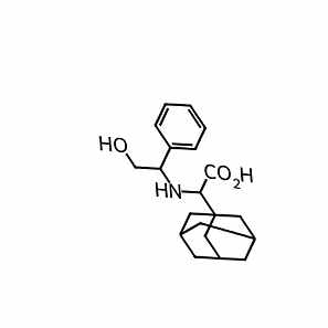 O=C(O)C(NC(CO)c1ccccc1)C12CC3CC(CC(C3)C1)C2